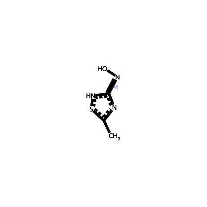 Cc1n/c(=N/O)[nH]s1